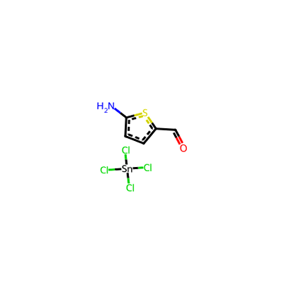 Nc1ccc(C=O)s1.[Cl][Sn]([Cl])([Cl])[Cl]